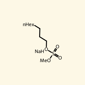 CCCCCCCCCOS(=O)(=O)OC.[NaH]